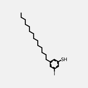 CCCCCCCCCCCCCCc1cc(S)cc(I)c1